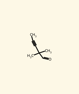 CC#CC(C)(C)[C]=O